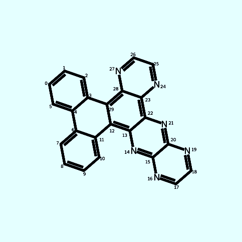 c1ccc2c(c1)c1ccccc1c1c3nc4nccnc4nc3c3nccnc3c21